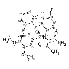 CCC(C(N)=O)N(c1ccc(Cl)cc1Cc1c(F)cccc1F)S(=O)(=O)c1ccc(OC)c(OC)c1